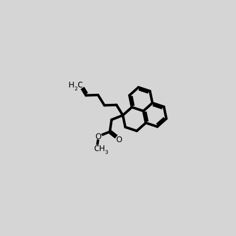 C=CCCCC1(CC(=O)OC)CCc2cccc3cccc1c23